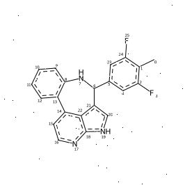 Cc1c(F)cc(C2Nc3ccccc3-c3ccnc4[nH]cc2c34)cc1F